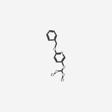 CCOC(OCC)Oc1ccc(OCc2ccccc2)nc1